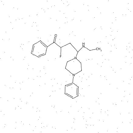 CCNC(CC(F)C(=O)c1ccccc1)N1CCN(c2ccccc2)CC1